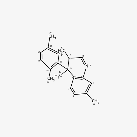 Cc1ccc2c(c1)N=CN(C)C2(C)c1cc(C)ccc1C